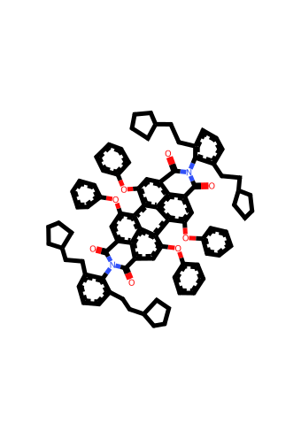 O=C1c2cc(Oc3ccccc3)c3c4c(Oc5ccccc5)cc5c6c(cc(Oc7ccccc7)c(c7c(Oc8ccccc8)cc(c2c37)C(=O)N1c1c(CCC2CCCC2)cccc1CCC1CCCC1)c64)C(=O)N(c1c(CCC2CCCC2)cccc1CCC1CCCC1)C5=O